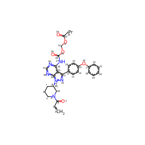 C=CC(=O)N1CCC[C@@H](n2nc(-c3ccc(Oc4ccccc4)cc3)c3c(NC(=O)OCOC(=O)C(C)C)ncnc32)C1